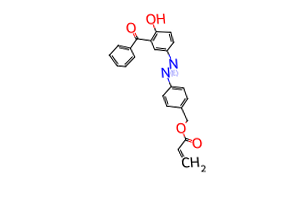 C=CC(=O)OCc1ccc(/N=N/c2ccc(O)c(C(=O)c3ccccc3)c2)cc1